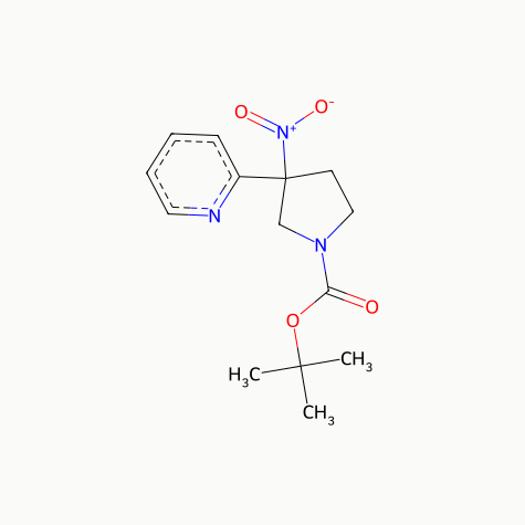 CC(C)(C)OC(=O)N1CCC(c2ccccn2)([N+](=O)[O-])C1